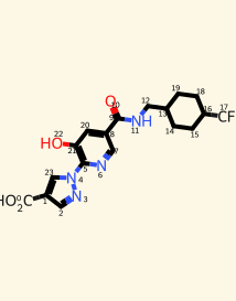 O=C(O)c1cnn(-c2ncc(C(=O)NCC3CCC(C(F)(F)F)CC3)cc2O)c1